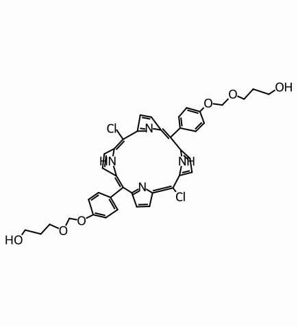 OCCCOCOc1ccc(-c2c3nc(c(Cl)c4ccc([nH]4)c(-c4ccc(OCOCCCO)cc4)c4nc(c(Cl)c5ccc2[nH]5)C=C4)C=C3)cc1